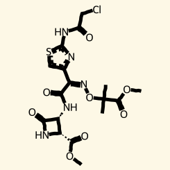 COC(=O)[C@@H]1NC(=O)[C@@H]1NC(=O)/C(=N\OC(C)(C)C(=O)OC)c1csc(NC(=O)CCl)n1